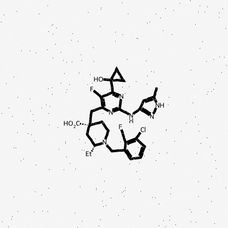 CC[C@@H]1C[C@](Cc2nc(Nc3cc(C)[nH]n3)nc(C3(O)CC3)c2F)(C(=O)O)CCN1Cc1cccc(Cl)c1F